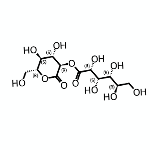 O=C(O[C@H]1C(=O)O[C@H](CO)[C@@H](O)[C@@H]1O)[C@H](O)[C@@H](O)[C@H](O)[C@H](O)CO